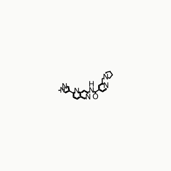 Cn1cc(-c2ccc3cnc(NC(=O)c4ccnc(CN5CCCC5)c4)cc3n2)cn1